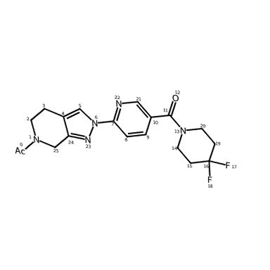 CC(=O)N1CCc2cn(-c3ccc(C(=O)N4CCC(F)(F)CC4)cn3)nc2C1